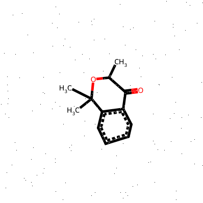 CC1OC(C)(C)c2ccccc2C1=O